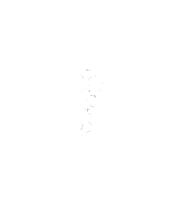 O=C(Cc1csc(-c2ccc(Cl)cc2)n1)NC(c1ccccc1)C(O)O